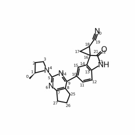 C[C@H]1CCN1c1nc2c(c(-c3ccc4c(c3)C3(CC3C#N)C(=O)N4)n1)CCC2